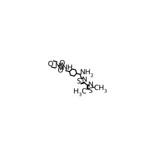 Cc1nc(-c2csc(C(N)C3CCC(CNS(=O)(=O)N4CCOCC4)CC3)n2)c(C)s1